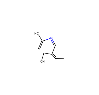 C=C(C#N)/N=C\C(=C/C)CC#N